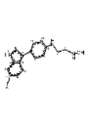 ONCCNc1ccc(-c2c[nH]c3cc(F)ccc23)cn1